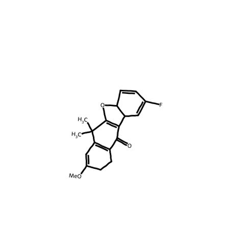 COC1=CC2=C(CC1)C(=O)C1=C(OC3C=CC(F)=CC13)C2(C)C